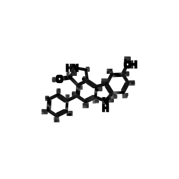 O=C1NCc2c1c(-c1ccccc1)cc1[nH]c3ccc(O)cc3c21